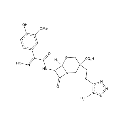 COc1cc(C(=NO)C(=O)NC2C(=O)N3CC(CSc4nnnn4C)(C(=O)O)CS[C@H]23)ccc1O